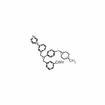 COc1cccc(CN(Cc2cccc(-n3ccnc3)c2)c2ccc(CN3CCN(C)CC3)cc2)c1